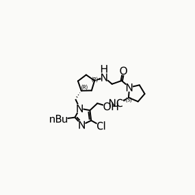 CCCCc1nc(Cl)c(CO)n1C[C@@H]1CC[C@@H](NCC(=O)N2CCC[C@H]2C#N)C1